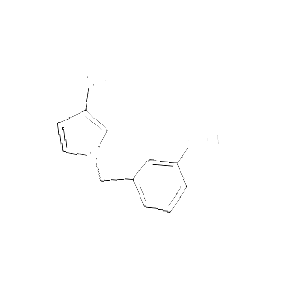 O=C(O)c1cccc(Cn2ccc([N+](=O)[O-])c2)c1